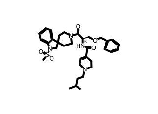 CC(C)CCN1CC=C(C(=O)N[C@H](COCc2ccccc2)C(=O)N2CCC3(CC2)CN(S(C)(=O)=O)c2ccccc23)CC1